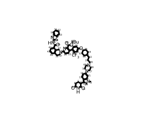 Cn1nc(C2CCC(=O)NC2=O)c2ccc(N3CCN(CCCC4CCC(Oc5ccc(-c6ccc(N7CCc8cccc(C(=O)Nc9nc%10ccccc%10s9)c8C7)nc6C(=O)OC(C)(C)C)c(C(F)(F)F)c5)CC4)CC3)cc21